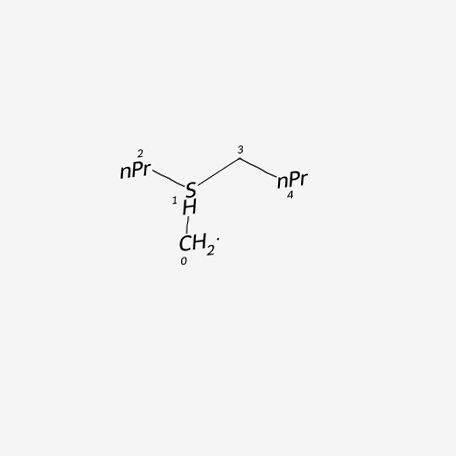 [CH2][SH](CCC)CCCC